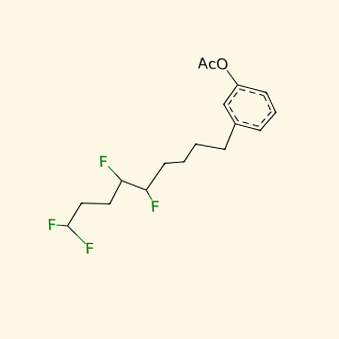 CC(=O)Oc1cccc(CCCCC(F)C(F)CCC(F)F)c1